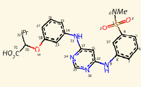 CNS(=O)(=O)c1cccc(Nc2cc(Nc3cccc(OC(C(=O)O)C(C)C)c3)ncn2)c1